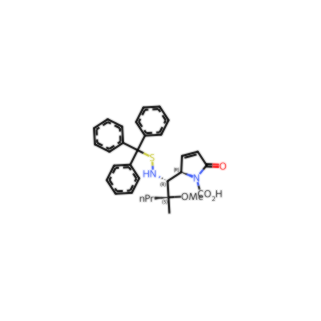 CCC[C@](C)(OC)[C@H](NSC(c1ccccc1)(c1ccccc1)c1ccccc1)[C@H]1C=CC(=O)N1C(=O)O